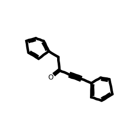 O=C(C#Cc1ccccc1)Cc1ccccc1